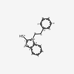 Sc1nc2ccccc2n1CCc1ccccc1